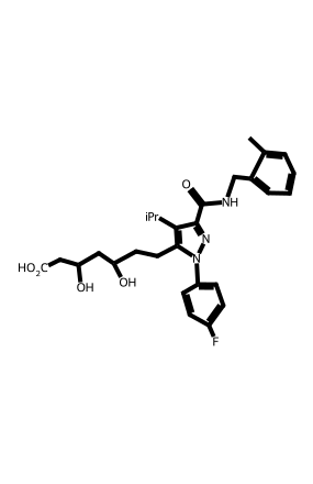 Cc1ccccc1CNC(=O)c1nn(-c2ccc(F)cc2)c(CCC(O)CC(O)CC(=O)O)c1C(C)C